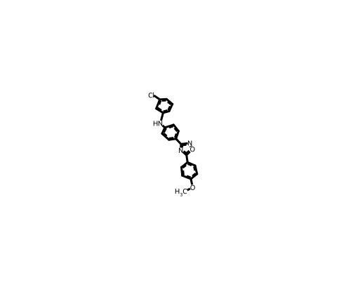 COc1ccc(-c2nc(-c3ccc(Nc4cccc(Cl)c4)cc3)no2)cc1